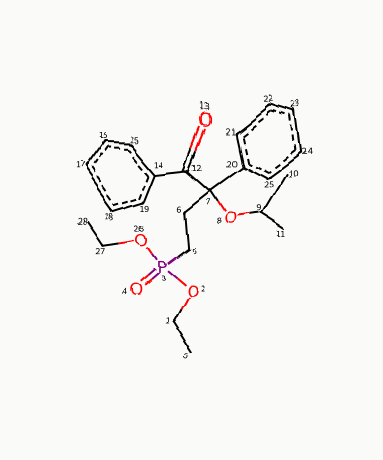 CCOP(=O)(CCC(OC(C)C)(C(=O)c1ccccc1)c1ccccc1)OCC